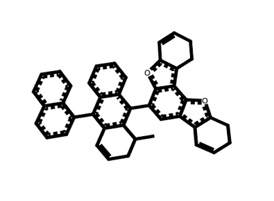 CC1CC=Cc2c1c(-c1cc3c4c(oc3c3c5c(oc13)C=CCC5)CCC=C4)c1ccccc1c2-c1cccc2ccccc12